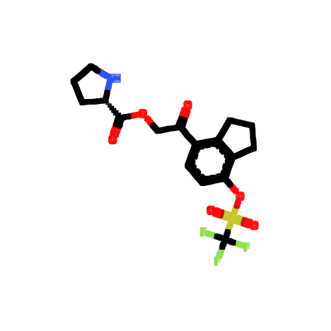 O=C(COC(=O)[C@@H]1CCCN1)c1ccc(OS(=O)(=O)C(F)(F)F)c2c1CCC2